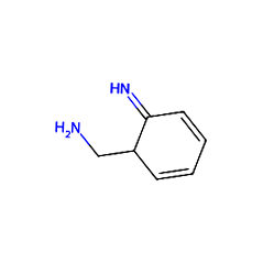 N=C1C=CC=CC1CN